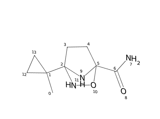 CC1(C23CCC(C(N)=O)(N2)ON3)CC1